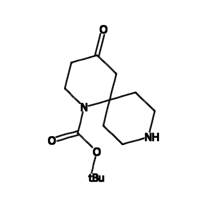 CC(C)(C)OC(=O)N1CCC(=O)CC12CCNCC2